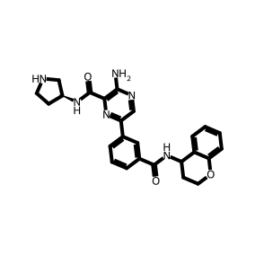 Nc1ncc(-c2cccc(C(=O)NC3CCOc4ccccc43)c2)nc1C(=O)N[C@H]1CCNC1